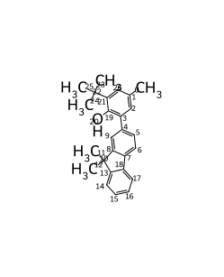 Cc1cc(-c2ccc3c(c2)C(C)(C)c2ccccc2-3)c(O)c(C(C)(C)C)c1